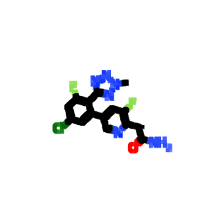 Cn1nnc(-c2c(F)cc(Cl)cc2-c2cnc([CH]C(N)=O)c(F)c2)n1